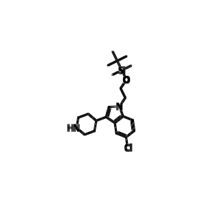 CC(C)(C)[Si](C)(C)OCCn1cc(C2CCNCC2)c2cc(Cl)ccc21